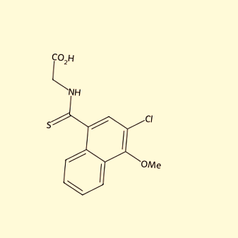 COc1c(Cl)cc(C(=S)NCC(=O)O)c2ccccc12